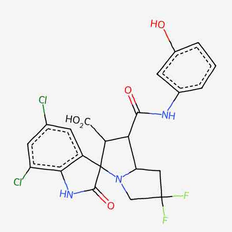 O=C(Nc1cccc(O)c1)C1C2CC(F)(F)CN2C2(C(=O)Nc3c(Cl)cc(Cl)cc32)C1C(=O)O